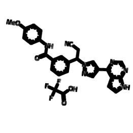 COc1ccc(NC(=O)c2cccc(C(CC#N)n3cc(-c4ncnc5[nH]ccc45)cn3)c2)cc1.O=C(O)C(F)(F)F